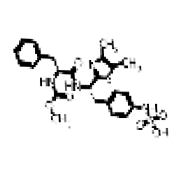 COC(=O)N[C@@H](Cc1ccccc1)C(=O)N[C@@H](Cc1ccc(NS(=O)(=O)O)cc1)c1nc(C)c(C)s1